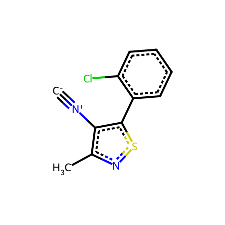 [C-]#[N+]c1c(C)nsc1-c1ccccc1Cl